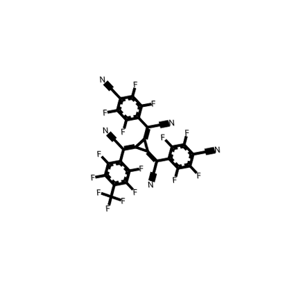 N#CC(=C1C(=C(C#N)c2c(F)c(F)c(C#N)c(F)c2F)C1=C(C#N)c1c(F)c(F)c(C(F)(F)F)c(F)c1F)c1c(F)c(F)c(C#N)c(F)c1F